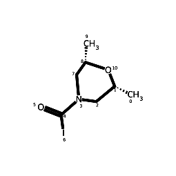 C[C@@H]1CN(C(=O)I)C[C@H](C)O1